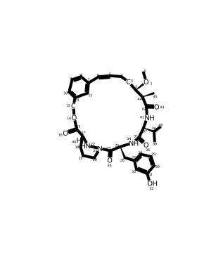 CO[C@@H]1CCC=Cc2cccc(c2)COC(=O)[C@@H]2CCCN(N2)C(=O)[C@H](Cc2cccc(O)c2)NC(=O)[C@H](C(C)C)NC(=O)[C@@H]1C